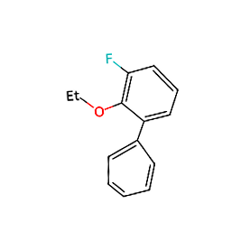 CCOc1c(F)cccc1-c1ccccc1